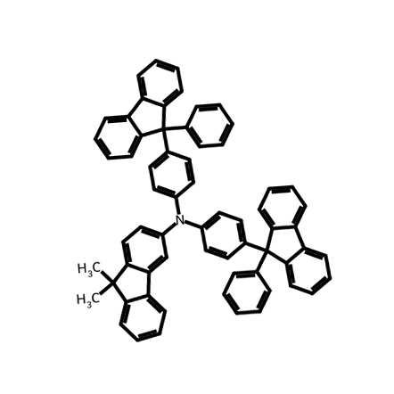 CC1(C)c2ccccc2-c2cc(N(c3ccc(C4(c5ccccc5)c5ccccc5-c5ccccc54)cc3)c3ccc(C4(c5ccccc5)c5ccccc5-c5ccccc54)cc3)ccc21